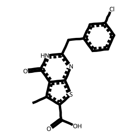 Cc1c(C(=O)O)sc2nc(Cc3cccc(Cl)c3)[nH]c(=O)c12